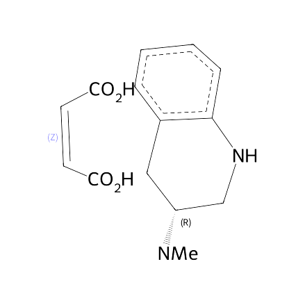 CN[C@H]1CNc2ccccc2C1.O=C(O)/C=C\C(=O)O